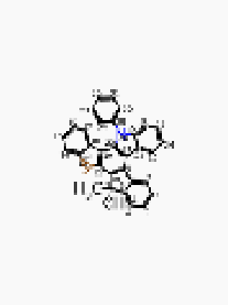 CC1(C)c2ccccc2-c2c1c1sc3ccccc3c1c1c2c2ccccc2n1-c1ccccc1